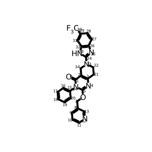 O=c1c2c(nc(OCc3cccnc3)n1-c1ccccc1)CCN(c1nc3ccc(C(F)(F)F)cc3[nH]1)C2